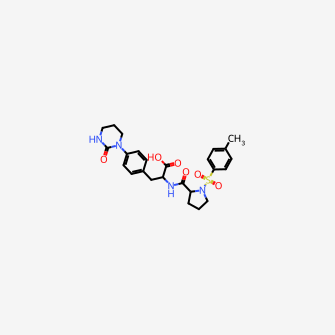 Cc1ccc(S(=O)(=O)N2CCCC2C(=O)NC(Cc2ccc(N3CCCNC3=O)cc2)C(=O)O)cc1